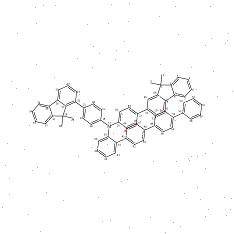 CC1(C)c2ccccc2-c2ccc(-c3ccc(N(c4ccc(-c5cccc6c5C(C)(C)c5ccccc5-6)cc4)c4ccccc4-c4ccc(-c5ccc(-c6ccccc6)cc5)cc4)cc3)cc21